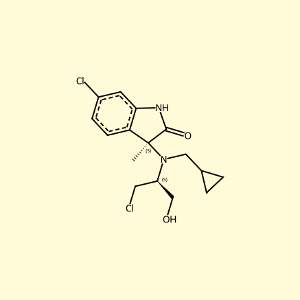 C[C@@]1(N(CC2CC2)[C@@H](CO)CCl)C(=O)Nc2cc(Cl)ccc21